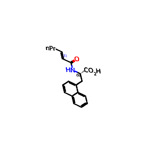 CCC/C=C/C(=O)N[C@@H](Cc1cccc2ccccc12)C(=O)O